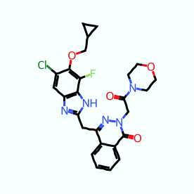 O=C(Cn1nc(Cc2nc3cc(Cl)c(OCC4CC4)c(F)c3[nH]2)c2ccccc2c1=O)N1CCOCC1